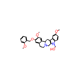 COc1ccc2c(c1)c1c(n2CO)CN2CCc3cc(OCc4ccccc4OC)c(OC)cc3C2C1